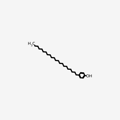 CCCCCCCCCCCCCCCCCCCCCCc1ccc(O)cc1